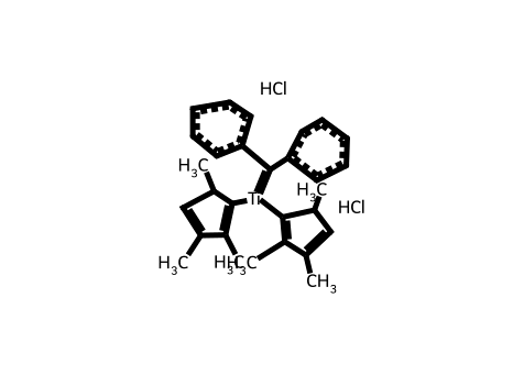 CC1=CC(C)[C]([Ti]([C]2=C(C)C(C)=CC2C)=[C](c2ccccc2)c2ccccc2)=C1C.Cl.Cl